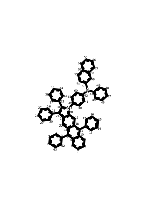 c1ccc(-c2c3ccccc3c(-c3ccccc3)c3cc4c(cc23)c(-c2ccccc2)c(-c2ccccc2)n4-c2ccc(N(c3ccccc3)c3ccc4ccccc4c3)cc2)cc1